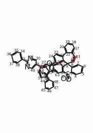 O=S1(=O)c2ccccc2C2(c3ccccc3-c3ccccc3-c3ccc(-c4cc(-c5cnc(-c6ccccc6)nc5)nc(-c5ccccc5)n4)cc32)c2cc3oc4ccccc4c3cc21